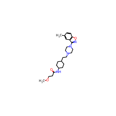 COCCC(=O)NC1CCC(CCN2CCN(c3noc4ccc(C)cc34)CC2)CC1